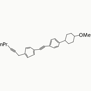 CCCC#CCc1ccc(C#Cc2ccc(C3CCC(OC)CC3)cc2)cc1